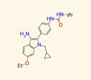 CCOc1ccc2c(N)c(-c3ccc(NC(=O)NC(C)C)cc3)n(CC3CC3)c2c1